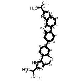 CC(C)c1nc2c([nH]1)-c1ccc(-c3ccc4c(c3)sc3c4ccc4[nH]c(C(C)C)nc43)cc1OC2